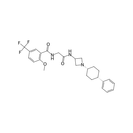 COc1ccc(C(F)(F)F)cc1C(=O)NCC(=O)NC1CN([C@H]2CC[C@@H](c3ccccc3)CC2)C1